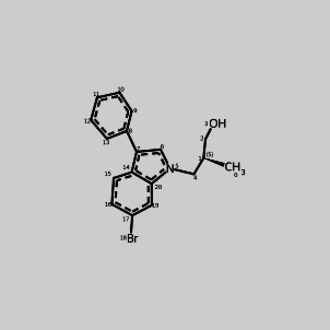 C[C@H](CO)Cn1cc(-c2ccccc2)c2ccc(Br)cc21